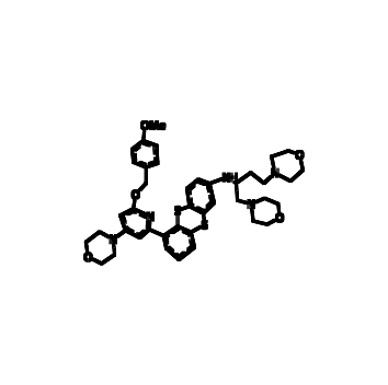 COc1ccc(COc2cc(N3CCOCC3)cc(-c3cccc4c3Sc3ccc(NC(CCN5CCOCC5)CN5CCOCC5)cc3S4)n2)cc1